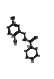 O=C(OCc1cc(Cl)ccc1Cl)N1CCOCC1